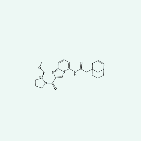 COC[C@@H]1CCCN1C(=O)c1cn2c(NC(=O)CC34CC=CC(CCC3)C4)cccc2n1